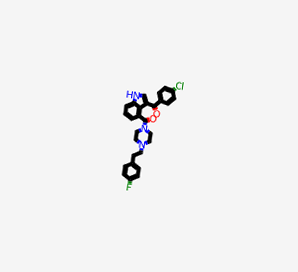 O=C(c1ccc(Cl)cc1)c1c[nH]c2cccc(C(=O)N3CCN(CCc4ccc(F)cc4)CC3)c12